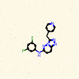 Fc1cc(F)cc(Nc2ccc3nnc(Cc4ccncc4)n3n2)c1